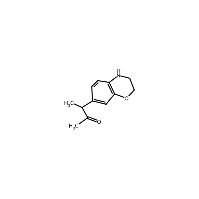 CC(=O)C(C)c1ccc2c(c1)OCCN2